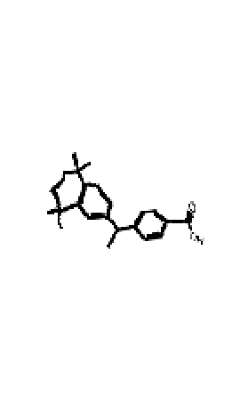 CC(c1ccc(C(=O)O)cc1)c1ccc2c(c1)C(C)(C)CCC2(C)C